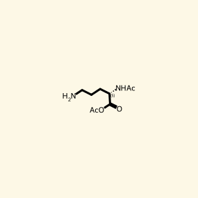 CC(=O)N[C@@H](CCCN)C(=O)OC(C)=O